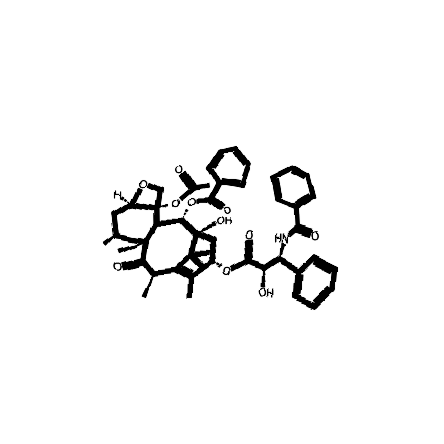 CC(=O)O[C@@]12CO[C@@H]1C[C@H](C)[C@@]1(C)C(=O)[C@H](C)C3=C(C)[C@@H](OC(=O)[C@H](O)[C@@H](NC(=O)c4ccccc4)c4ccccc4)C[C@@](O)([C@@H](OC(=O)c4ccccc4)C12)C3(C)C